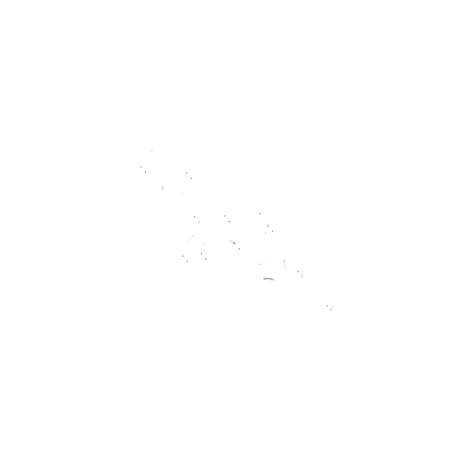 CCCC(=O)Nc1cncc(-c2ccc3[nH]nc(-c4nc5c(-c6cc(F)cc(NCCN(C)C)c6)nccc5[nH]4)c3n2)c1